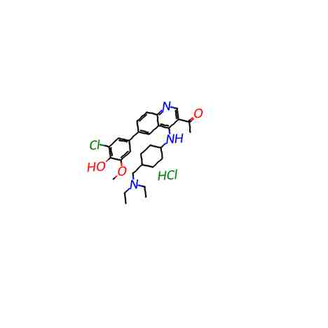 CCN(CC)CC1CCC(Nc2c(C(C)=O)cnc3ccc(-c4cc(Cl)c(O)c(OC)c4)cc23)CC1.Cl